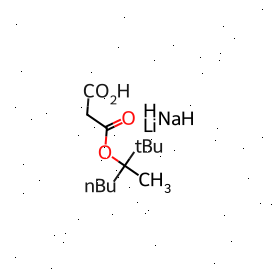 CCCCC(C)(OC(=O)CC(=O)O)C(C)(C)C.[LiH].[NaH]